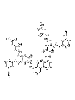 N#Cc1cncc(COc2nc(OCc3cccc(-c4cccc(COc5nc(OCc6cncc(C#N)c6)c(CNC[C@@H](O)CC(=O)O)cc5Br)c4Cl)c3Cl)c(Br)cc2CNC[C@@H](O)CC(=O)O)c1